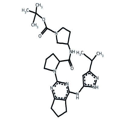 CC(C)c1cc(Nc2nc(N3CCCC3C(=O)NC3CCN(C(=O)OC(C)(C)C)C3)nc3c2CCC3)[nH]n1